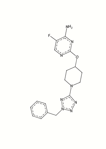 Nc1nc(OC2CCN(c3nnn(Cc4ccccc4)n3)CC2)ncc1F